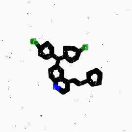 Clc1ccc(C(c2ccc(Cl)cc2)c2ccc3nccc(C=Cc4ccccc4)c3c2)cc1